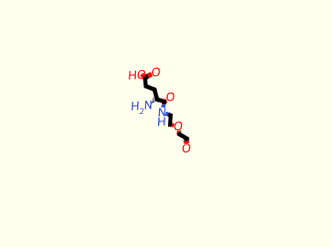 N[C@H](CCC(=O)O)C(=O)NCCOCC=O